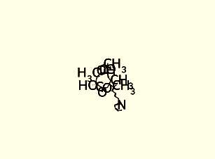 CC(=O)O[C@H]1/C=C/[C@H](C)[C@@H](/C(C)=C/C=C/Cc2ccccn2)OC(=O)C[C@H](O)CC[C@@]1(C)O